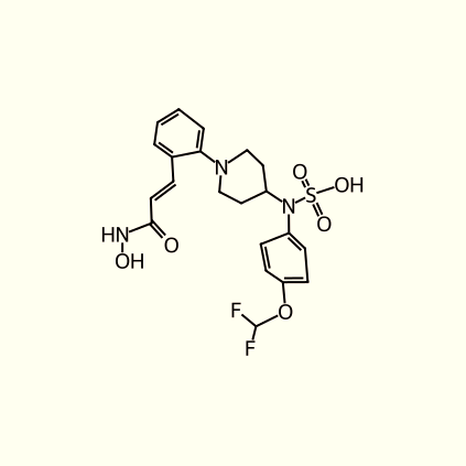 O=C(/C=C/c1ccccc1N1CCC(N(c2ccc(OC(F)F)cc2)S(=O)(=O)O)CC1)NO